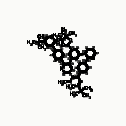 C=C/N=C(\C=C(/C)C(C)(C)C)c1ccc(-c2ncccc2-c2cc(B3OC(C)(C)C(C)(C)O3)cc(-c3cccnc3-c3ccc(-c4cc(C(C)(C)C)ccn4)cc3)c2)cc1